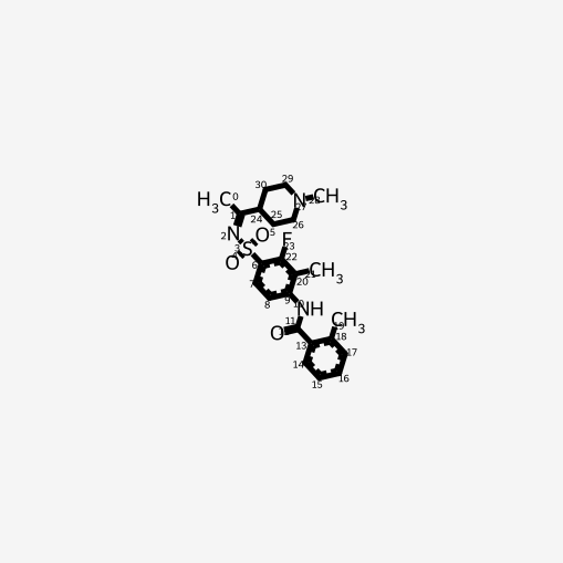 C/C(=N/S(=O)(=O)c1ccc(NC(=O)c2ccccc2C)c(C)c1F)C1CCN(C)CC1